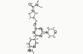 CN(C)C(=O)N1CCC(COc2nc(-c3ccc(N)nc3)nc(N3CCOCC3)n2)C1